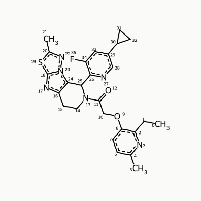 CCc1nc(C)ccc1OCC(=O)N1CCc2nc3sc(C)nn3c2C1c1ncc(C2CC2)cc1F